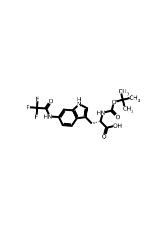 CC(C)(C)OC(=O)N[C@@H](Cc1c[nH]c2cc(NC(=O)C(F)(F)F)ccc12)C(=O)O